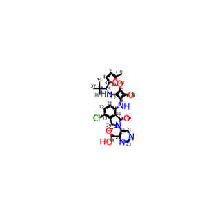 Cc1ccc([C@H](Nc2c(Nc3ccc(Cl)c4c3C(=O)N(c3cncnc3C(=O)O)C4)c(=O)c2=O)C(C)(C)C)o1